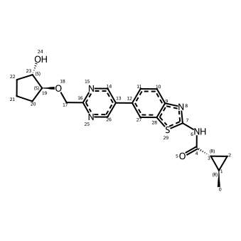 C[C@@H]1C[C@H]1C(=O)Nc1nc2ccc(-c3cnc(CO[C@H]4CCC[C@@H]4O)nc3)cc2s1